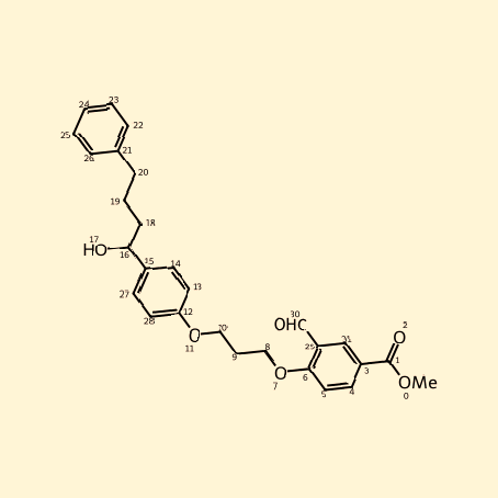 COC(=O)c1ccc(OCCCOc2ccc(C(O)CCCc3ccccc3)cc2)c(C=O)c1